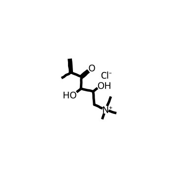 C=C(C)C(=O)C(O)C(O)C[N+](C)(C)C.[Cl-]